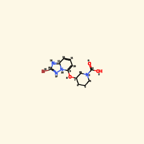 O=C(O)N1CCCC(Oc2cccc3nc(Br)nn23)C1